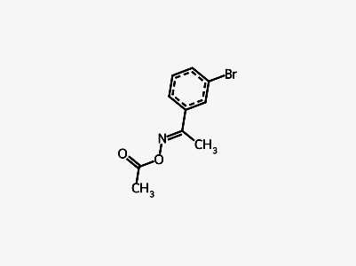 CC(=O)O/N=C(\C)c1cccc(Br)c1